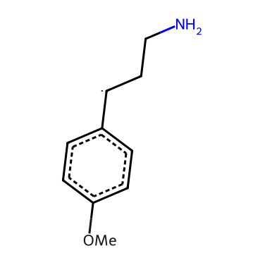 COc1ccc([CH]CCN)cc1